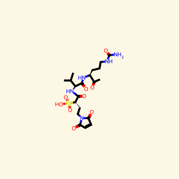 CC(=O)[C@H](CCCNC(N)=O)NC(=O)[C@@H](NC(=O)[C@H](CCN1C(=O)C=CC1=O)S(=O)(=O)O)C(C)C